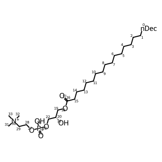 CCCCCCCCCCCCCCCCCCCCCCCCCC(=O)OC[C@H](O)COP(=O)(O)OCC[N+](C)(C)C